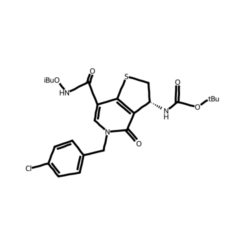 CC(C)CONC(=O)c1cn(Cc2ccc(Cl)cc2)c(=O)c2c1SC[C@@H]2NC(=O)OC(C)(C)C